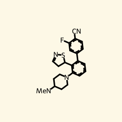 CNC1CCN(c2cccc(-c3ccc(C#N)c(F)c3)c2C2CC=NS2)CC1